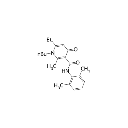 CCCCn1c(CC)cc(=O)c(C(=O)Nc2c(C)cccc2C)c1C